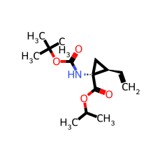 C=C[C@@H]1C[C@]1(NC(=O)OC(C)(C)C)C(=O)OC(C)C